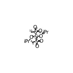 CC(C)O[Si](OC(C)C)(S(C)(=O)=O)S(C)(=O)=O